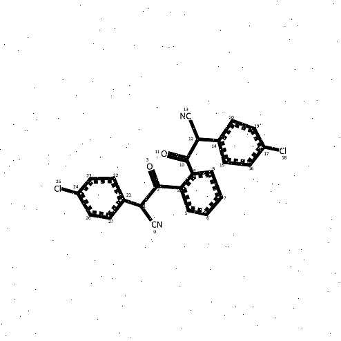 N#CC(C(=O)c1ccccc1C(=O)C(C#N)c1ccc(Cl)cc1)c1ccc(Cl)cc1